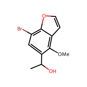 COc1c(C(C)O)cc(Br)c2occc12